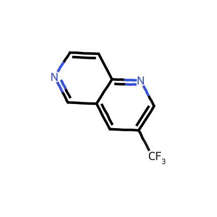 FC(F)(F)c1cnc2ccncc2c1